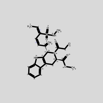 C=C(/C=C\C(=C/C)S(=O)(=O)NC)[C@H]1c2[nH]c3ccccc3c2C[C@H](C(=O)OC)N1C(=O)CCl